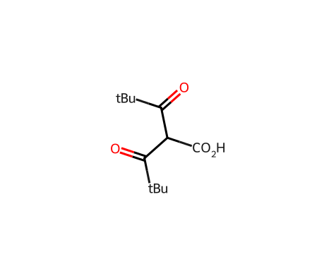 CC(C)(C)C(=O)C(C(=O)O)C(=O)C(C)(C)C